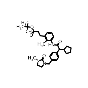 Cc1c(CCC(=O)OC(C)(C)C)cccc1NC(=O)C(c1ccc(CN2CCN(C)C2=O)cc1)C1CCCC1